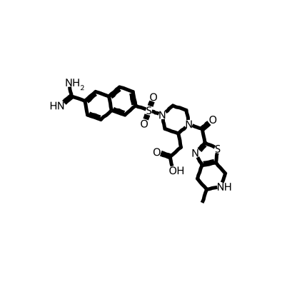 CC1Cc2nc(C(=O)N3CCN(S(=O)(=O)c4ccc5cc(C(=N)N)ccc5c4)CC3CC(=O)O)sc2CN1